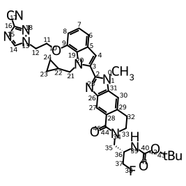 Cn1c(-c2cc3cccc(OCCn4cnc(C#N)n4)c3n2CC2CC2)nc2cc3c(cc21)CCN(C[C@@H](CF)NC(=O)OC(C)(C)C)C3=O